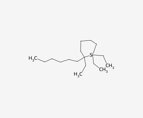 CCCCCCC1(CC)CCCC[Si]1(CC)CC